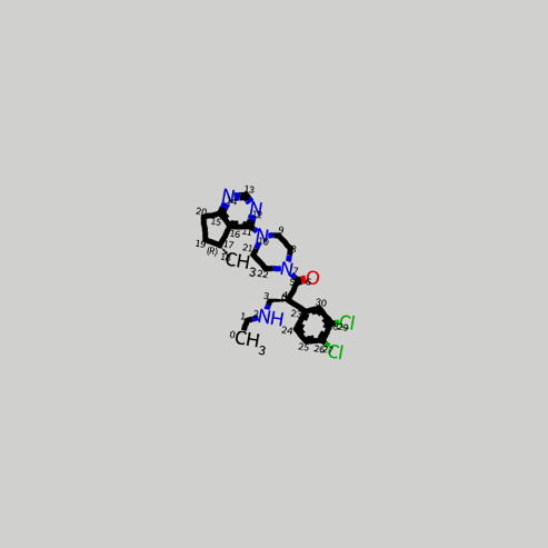 CCNC[C@@H](C(=O)N1CCN(c2ncnc3c2[C@H](C)CC3)CC1)c1ccc(Cl)c(Cl)c1